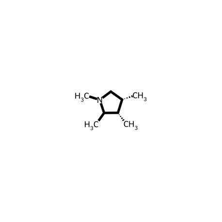 CC1[C@@H](C)[C@@H](C)CN1C